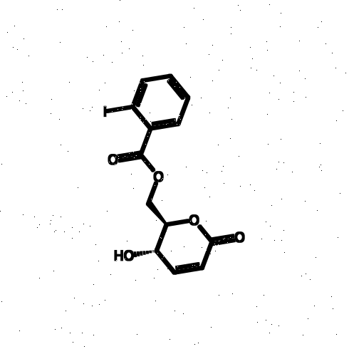 O=C1C=C[C@H](O)[C@@H](COC(=O)c2ccccc2I)O1